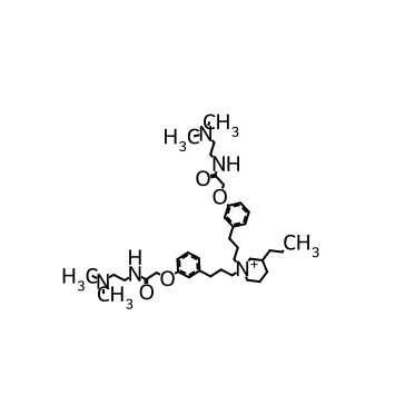 CCCC1CCC[N+](CCCc2cccc(OCC(=O)NCCN(C)C)c2)(CCCc2cccc(OCC(=O)NCCN(C)C)c2)C1